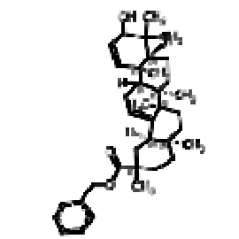 CC1(C)C(O)C=C[C@]2(C)[C@H]3CC=C4[C@@H]5C[C@@](C)(C(=O)OCc6ccccc6)CC[C@]5(C)CC[C@@]4(C)[C@]3(C)CC[C@@H]12